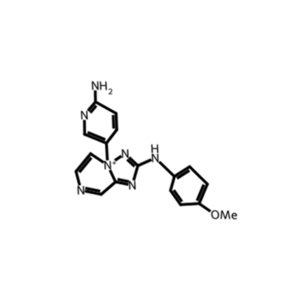 COc1ccc(NC2=N[N+]3(c4ccc(N)nc4)C=CN=CC3=N2)cc1